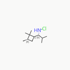 CC(C)[C@@H](NCl)[C@H]1C[C@@H](C)C1(C)C